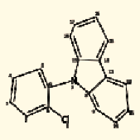 Clc1ccccc1-n1c2ccccc2c2ccccc21